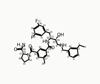 CCc1cccc(CNC[C@H](O)[C@H](Cc2cc(F)cc(F)c2)NC(=O)c2cc(C)cc(C(=O)N3CCC[C@H]3C(N)=O)c2)c1